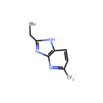 CC(C)(C)Cc1nc2nc(C(F)(F)F)ccc2[nH]1